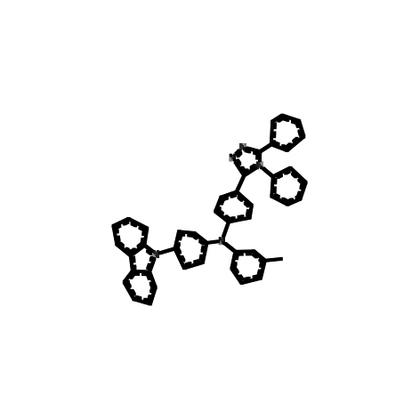 Cc1cccc(N(c2ccc(-c3nnc(-c4ccccc4)n3-c3ccccc3)cc2)c2ccc(-n3c4ccccc4c4ccccc43)cc2)c1